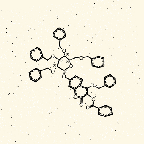 O=C(Oc1c(OCc2ccccc2)c2ccc(O[C@@H]3O[C@H](COCc4ccccc4)[C@@H](OCc4ccccc4)[C@H](OCc4ccccc4)[C@H]3OCc3ccccc3)cc2oc1=O)c1ccccc1